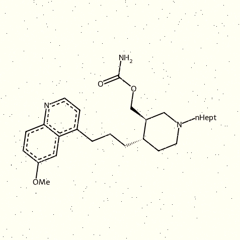 CCCCCCCN1CC[C@H](CCCc2ccnc3ccc(OC)cc23)[C@@H](COC(N)=O)C1